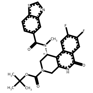 CN(C(=O)c1ccc2scnc2c1)[C@H]1CN(C(=O)OC(C)(C)C)Cc2[nH]c(=O)c3cc(F)c(F)cc3c21